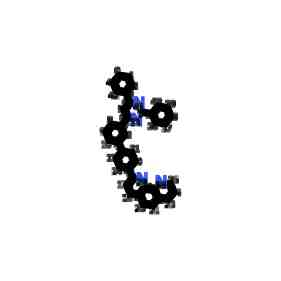 c1ccc(-c2cc(-c3cccc(-c4ccc(-c5ccc6ccc7cccnc7c6n5)cc4)c3)nc(-c3ccccc3)n2)cc1